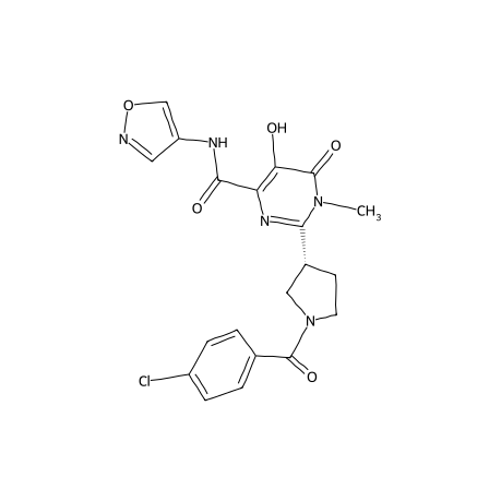 Cn1c([C@@H]2CCN(C(=O)c3ccc(Cl)cc3)C2)nc(C(=O)Nc2cnoc2)c(O)c1=O